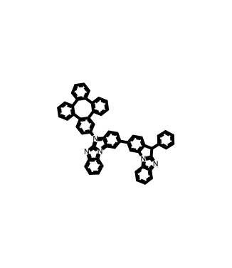 c1ccc(C2c3ccc(-c4ccc5c(c4)n4c6ccccc6nc4n5-c4ccc5c(c4)-c4ccccc4-c4ccccc4-c4ccccc4-5)cc3-n3c2nc2ccccc23)cc1